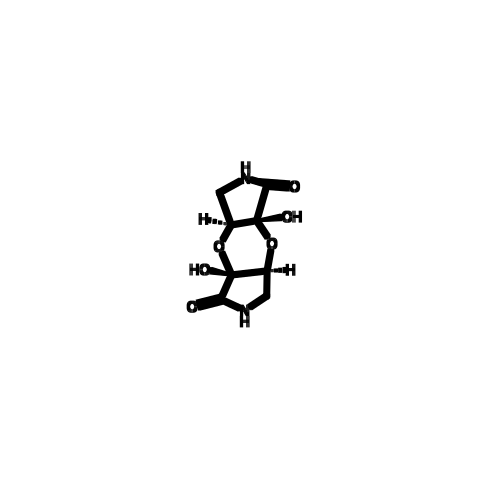 O=C1NC[C@@H]2O[C@@]3(O)C(=O)NC[C@@H]3O[C@@]12O